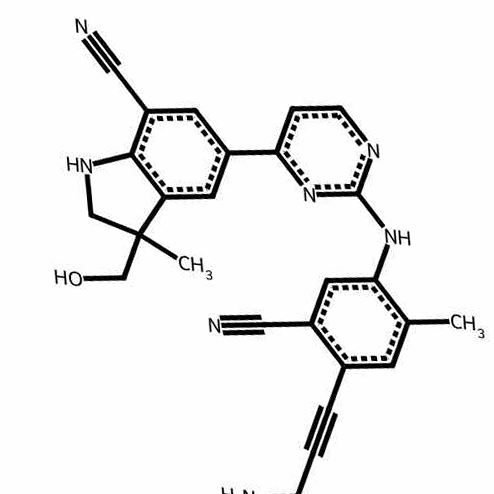 Cc1cc(C#CCN)c(C#N)cc1Nc1nccc(-c2cc(C#N)c3c(c2)C(C)(CO)CN3)n1